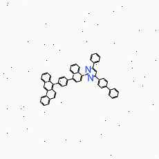 c1ccc(-c2ccc(-c3cc(-c4ccccc4)nc(-c4ccc(-c5ccc(-c6c7ccccc7cc7c6ccc6ccccc67)cc5)c5ccccc45)n3)cc2)cc1